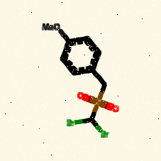 COc1ccc(CS(=O)(=O)C(Br)Br)cc1